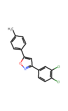 Cc1ccc(-c2cc(-c3ccc(Cl)c(Cl)c3)no2)cc1